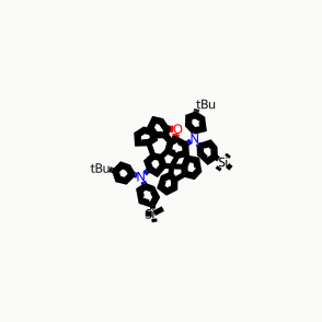 CC(C)(C)c1ccc(N(c2ccc([Si](C)(C)C)cc2)c2cc(-c3ccccc3)c3c(c2)C2(c4ccccc4-c4ccccc42)c2cc(N(c4ccc(C(C)(C)C)cc4)c4ccc([Si](C)(C)C)cc4)c4oc5ccccc5c4c2-3)cc1